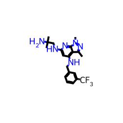 Cc1nn(C)c2nc(NCC(C)(C)N)cc(NCc3cccc(C(F)(F)F)c3)c12